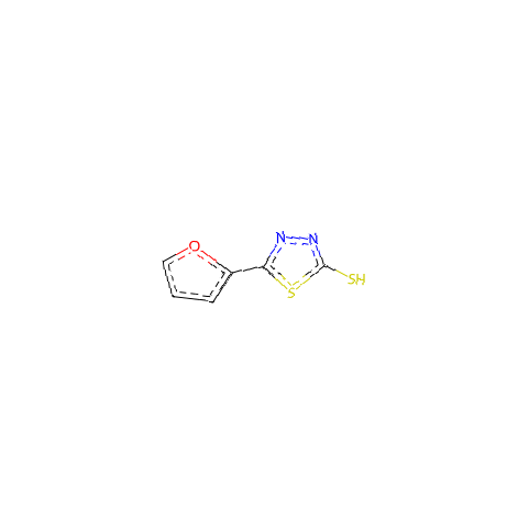 Sc1nnc(-c2ccco2)s1